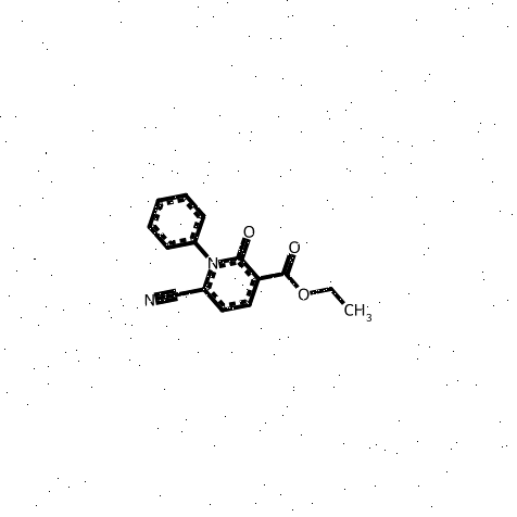 CCOC(=O)c1ccc(C#N)n(-c2ccccc2)c1=O